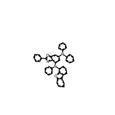 c1ccc(-c2nc3c(N(c4ccccc4)c4cccc5c4oc4ccccc45)cc(N(c4ccccc4)c4ccccc4)cc3o2)cc1